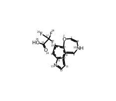 C1=COc2ccc3c(c2=CN1)=CC=N3.O=C(O)C(F)(F)F